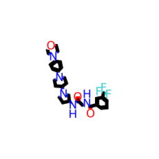 O=C(CNC(=O)c1cccc(C(F)(F)F)c1)N[C@@H]1CCN(C2CCN(c3ccc(N4CCOCC4)cc3)CC2)C1